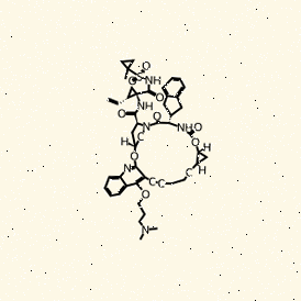 C=C[C@@H]1C[C@]1(NC(=O)[C@@H]1C[C@@H]2CN1C(=O)[C@H](C1Cc3ccccc3C1)NC(=O)O[C@@H]1C[C@H]1CCCCCc1c(nc3ccccc3c1OCCCN(C)C)O2)C(=O)NS(=O)(=O)C1(C)CC1